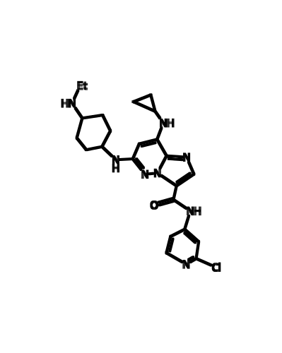 CCNC1CCC(Nc2cc(NC3CC3)c3ncc(C(=O)Nc4ccnc(Cl)c4)n3n2)CC1